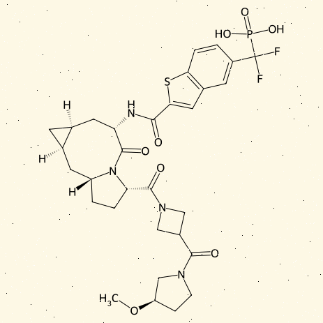 CO[C@@H]1CCN(C(=O)C2CN(C(=O)[C@@H]3CC[C@@H]4C[C@H]5C[C@H]5C[C@H](NC(=O)c5cc6cc(C(F)(F)P(=O)(O)O)ccc6s5)C(=O)N43)C2)C1